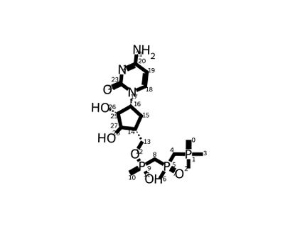 C=P(C)(C)CP(C)(=O)CP(=C)(O)OC[C@H]1C[C@@H](n2ccc(N)nc2=O)[C@@H](O)C1O